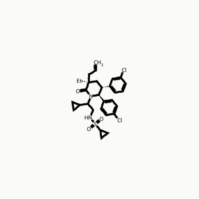 C=CC[C@@]1(CC)C[C@H](c2cccc(Cl)c2)[C@@H](c2ccc(Cl)cc2)N(C(CNS(=O)(=O)C2CC2)C2CC2)C1=O